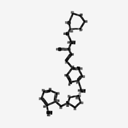 O=C(C=Cc1cnc(N[C@@H]2CCN(Cc3ccccc3O)C2)cn1)NOC1CCCCO1